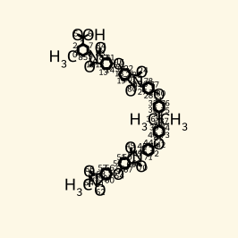 Cc1cc(C(=O)O)cc(N2C(=O)c3ccc(Oc4ccc5c(c4)C(=O)N(c4ccc(Oc6ccc(C(C)(C)c7ccc(Oc8ccc(N9C(=O)c%10ccc(Oc%11ccc%12c(c%11)C(=O)N(C)C%12=O)cc%10C9=O)cc8)cc7)cc6)cc4)C5=O)cc3C2=O)c1